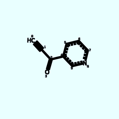 C#CC(=O)c1cccnc1